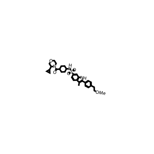 COCCc1ccc(-c2[nH]c3cc(S(=O)(=O)NC4CCC(C(=O)N5CCOCC5C5CC5)CC4)ccc3c2C)cc1